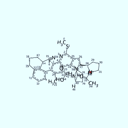 CSc1nc2c(F)c(-c3cccc4c3C(C#N)CCC4)c(C)cc2c2c1cc([C@H]1CCCN1C(C)=O)n2[C@H]1[C@@H]2C[C@H]1N(C(=O)O)C2